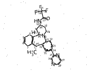 C[C@@H]1C2=C(CC=CC2)[C@H]2C[C@H](NC(=O)C(F)(F)F)CCN2c2ccc(-c3cnccn3)cc21